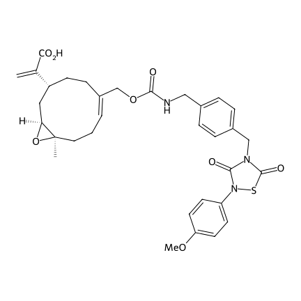 C=C(C(=O)O)[C@@H]1CC/C(COC(=O)NCc2ccc(Cn3c(=O)sn(-c4ccc(OC)cc4)c3=O)cc2)=C\CC[C@@]2(C)O[C@H]2C1